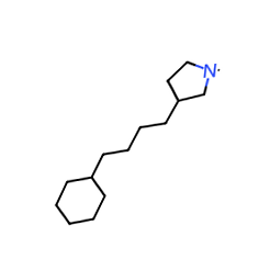 C1CCC(CCCCC2CC[N]C2)CC1